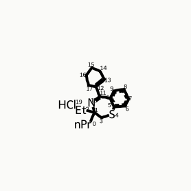 CCCC1(CC)CSc2ccccc2C(C2=CCCCC2)=N1.Cl